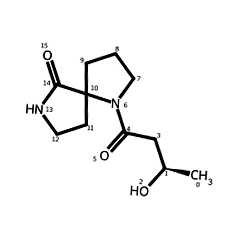 C[C@@H](O)CC(=O)N1CCCC12CCNC2=O